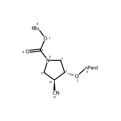 CCCCCO[C@H]1CN(C(=O)OC(C)(C)C)C[C@@H]1C#N